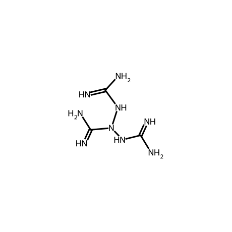 N=C(N)NN(NC(=N)N)C(=N)N